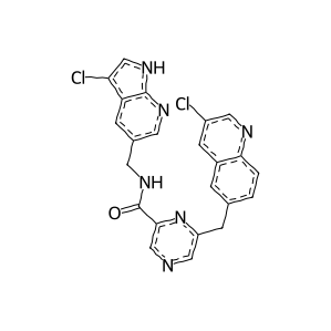 O=C(NCc1cnc2[nH]cc(Cl)c2c1)c1cncc(Cc2ccc3ncc(Cl)cc3c2)n1